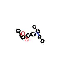 c1ccc(-c2ccc(N(c3ccc(-c4ccc5c(c4)oc4ccc6cc(-c7ccccc7)oc6c45)cc3)c3cccc(-c4ccccc4)c3)cc2)cc1